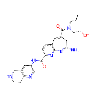 CCCN(CCO)C(=O)C1=Cc2ccc(C(=O)Nc3cnc4c(c3)CNCC4)nc2N=C(N)C1